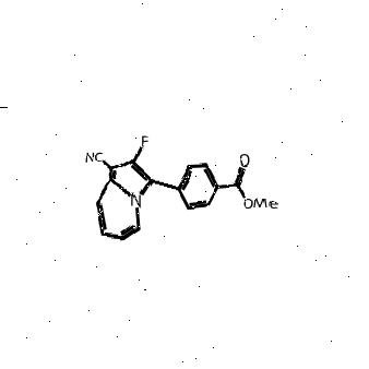 COC(=O)c1ccc(-c2c(F)c(C#N)c3ccccn23)cc1